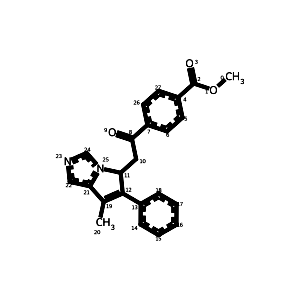 COC(=O)c1ccc(C(=O)CC2C(c3ccccc3)=C(C)c3cncn32)cc1